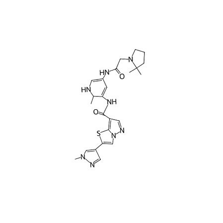 CC1NC=C(NC(=O)CN2CCCC2(C)C)C=C1NC(=O)c1cnn2cc(-c3cnn(C)c3)sc12